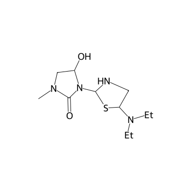 CCN(CC)C1CNC(N2C(=O)N(C)CC2O)S1